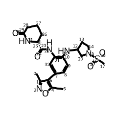 Cc1noc(C)c1-c1ccc(NC2CCN(S(C)(=O)=O)C2)c(NC(=O)[C@H]2CCCC(=O)N2)c1